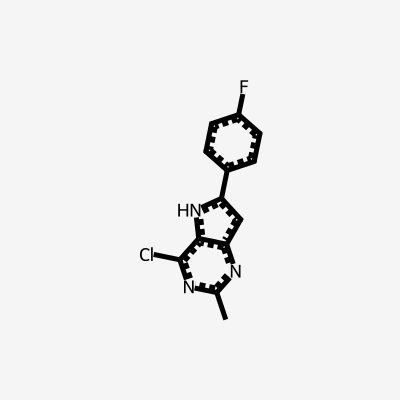 Cc1nc(Cl)c2[nH]c(-c3ccc(F)cc3)cc2n1